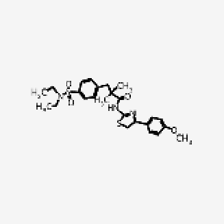 CCN(CC)S(=O)(=O)c1ccc(CC(C)(C)C(=O)NC2=NC(c3ccc(OC)cc3)CS2)cc1